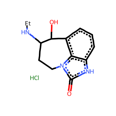 CCNC1CCn2c(=O)[nH]c3cccc(c32)C1O.Cl